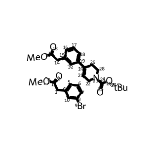 COC(=O)Cc1cccc(Br)c1.COC(=O)Cc1cccc(C2=CCN(C(=O)OC(C)(C)C)CC2)c1